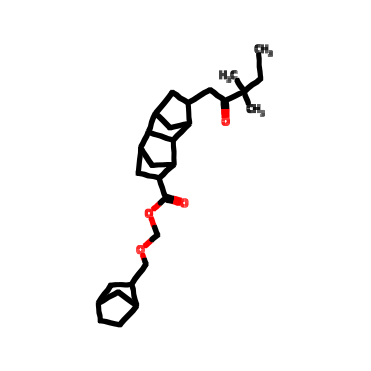 CCC(C)(C)C(=O)CC1CC2CC1C1C3CC(CC3C(=O)OCOCC3CC4CCC3C4)C21